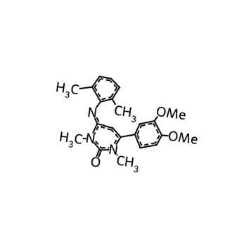 COc1ccc(-c2cc(=Nc3c(C)cccc3C)n(C)c(=O)n2C)cc1OC